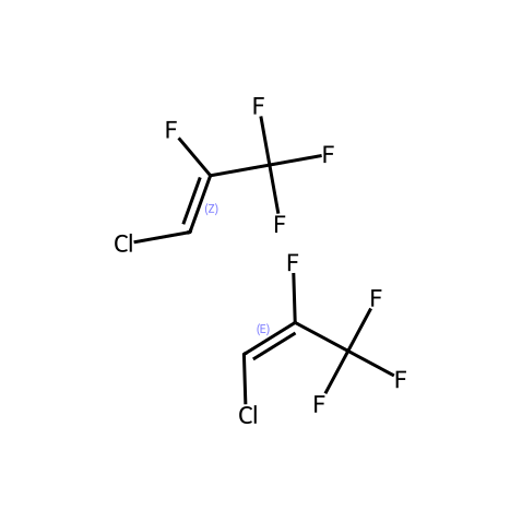 F/C(=C/Cl)C(F)(F)F.F/C(=C\Cl)C(F)(F)F